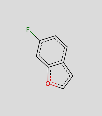 Fc1ccc2[c]coc2c1